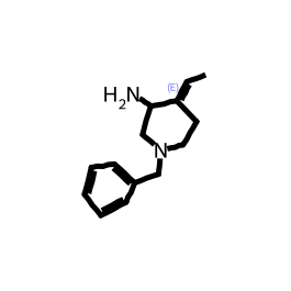 C/C=C1\CCN(Cc2ccccc2)CC1N